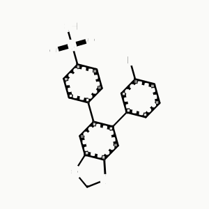 CS(=O)(=O)c1ccc(-c2cc3c(cc2-c2cccc(F)c2)OCO3)cc1